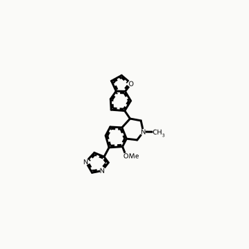 COc1c(-c2cncnc2)ccc2c1CN(C)CC2c1ccc2ccoc2c1